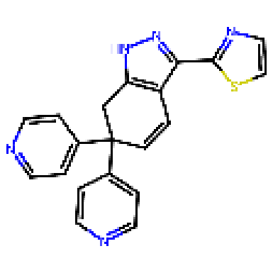 C1=CC(c2ccncc2)(c2ccncc2)Cc2[nH]nc(-c3nccs3)c21